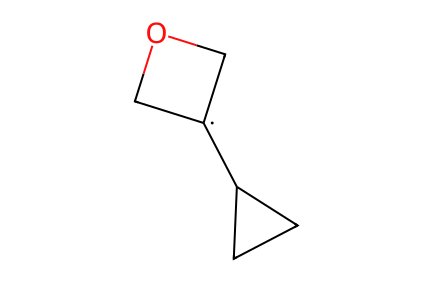 C1OC[C]1C1CC1